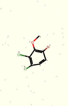 COc1c(Br)c[c]c(Cl)c1Cl